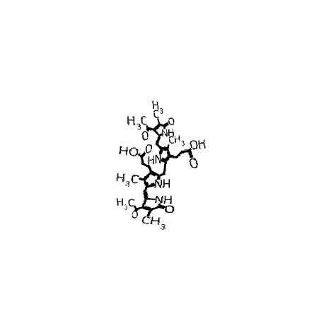 CC(=O)C1=C(C)C(=O)N/C1=C\c1[nH]c(Cc2[nH]c(/C=C3\NC(=O)C(C)=C3C(C)=O)c(C)c2CCC(=O)O)c(CCC(=O)O)c1C